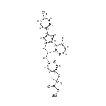 CC(C)(C)OC(=O)C(C)(C)Oc1ccc(CCCc2nc(-c3ccc(C(F)(F)F)cc3)nn2-c2ccccc2F)cc1